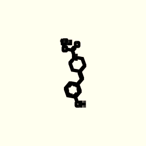 CC(C)(C)OC(=O)N1CCC(=Cc2cccc(O)c2)CC1